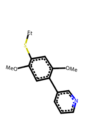 CCSc1cc(OC)c(-c2cccnc2)cc1OC